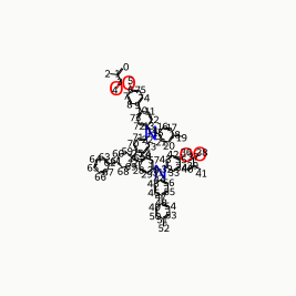 C=C(C)C(=O)Oc1ccc(-c2ccc(N(c3ccc(C)cc3)c3ccc(C4(c5ccc(N(c6ccc(OC(=O)C(=C)C)cc6)c6ccc(-c7ccc(C)cc7)cc6)cc5)CCC(c5ccccc5)CC4)cc3)cc2)cc1